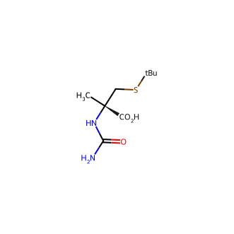 CC(C)(C)SC[C@@](C)(NC(N)=O)C(=O)O